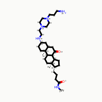 CC(C)NC(=O)CCC[C@H]1CCC2C3C(=O)CC4C[C@@H](NCCN5CCN(CCCN)CC5)CC[C@]4(C)C3CC[C@@]21C